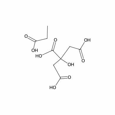 CCC(=O)O.O=C(O)CC(O)(CC(=O)O)C(=O)O